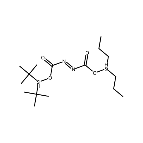 CCC[SiH](CCC)OC(=O)N=NC(=O)O[SiH](C(C)(C)C)C(C)(C)C